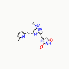 Cc1cccc(CCc2cc(NC3CC3)n3ncc(/C=C4\CC(=O)NC4=O)c3n2)n1